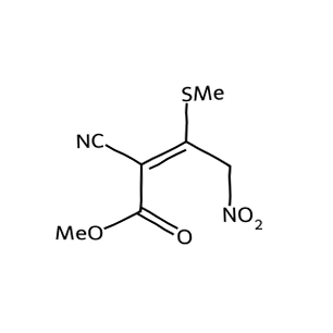 COC(=O)/C(C#N)=C(\C[N+](=O)[O-])SC